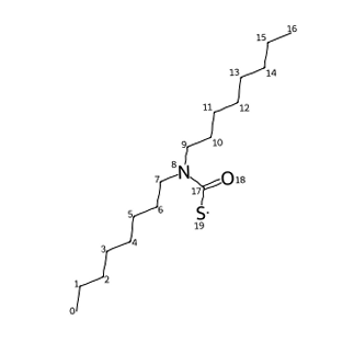 CCCCCCCCN(CCCCCCCC)C(=O)[S]